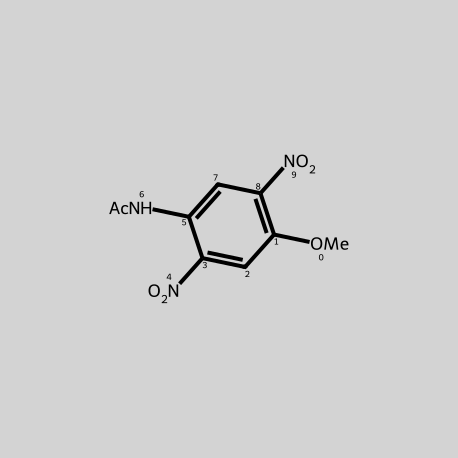 COc1cc([N+](=O)[O-])c(NC(C)=O)cc1[N+](=O)[O-]